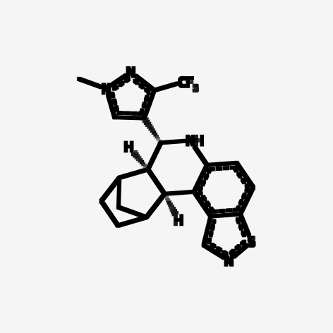 Cn1cc([C@@H]2Nc3ccc4sncc4c3[C@H]3C4CCC(C4)[C@@H]23)c(C(F)(F)F)n1